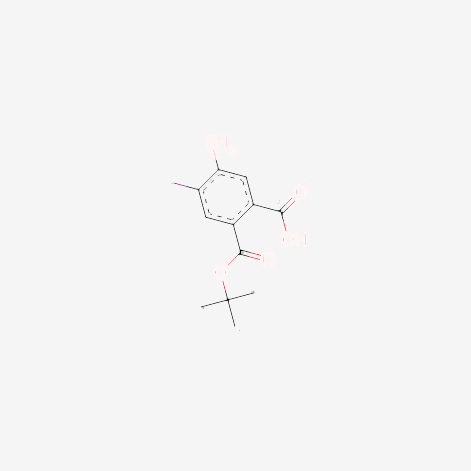 Bc1cc(C(=O)O)c(C(=O)OC(C)(C)C)cc1I